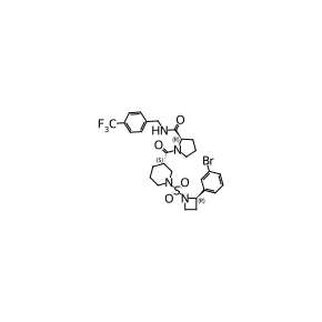 O=C(NCc1ccc(C(F)(F)F)cc1)[C@H]1CCCN1C(=O)[C@H]1CCCN(S(=O)(=O)N2CC[C@@H]2c2cccc(Br)c2)C1